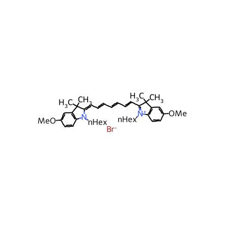 CCCCCCN1\C(=C/C=C/C=C/C=C/C2=[N+](CCCCCC)c3ccc(OC)cc3C2(C)C)C(C)(C)c2cc(OC)ccc21.[Br-]